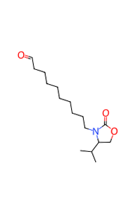 CC(C)C1COC(=O)N1CCCCCCCCCC=O